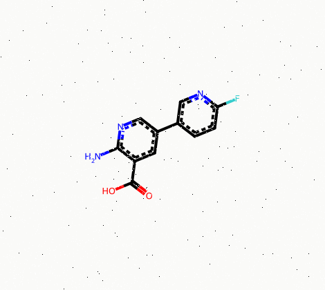 Nc1ncc(-c2ccc(F)nc2)cc1C(=O)O